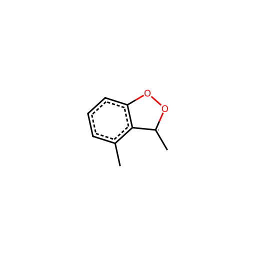 C[C]1OOc2cccc(C)c21